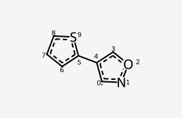 [c]1nocc1-c1cccs1